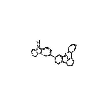 c1ccc2c(c1)[nH]c1ccc(-c3ccc4c5cccc6c7ccccc7n(c4c3)c65)cc12